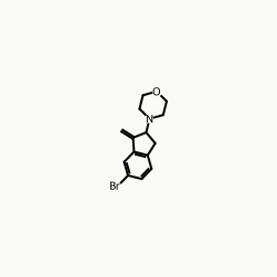 C=C1c2cc(Br)ccc2CC1N1CCOCC1